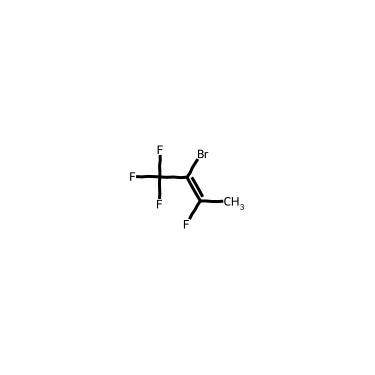 CC(F)=C(Br)C(F)(F)F